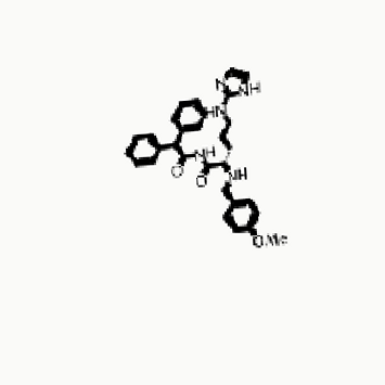 COc1ccc(CN[C@@H](CCCNc2ncc[nH]2)C(=O)NC(=O)C(c2ccccc2)c2ccccc2)cc1